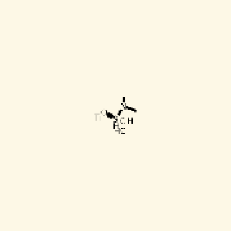 CN(C)[SiH]=O.Cl.Cl.[Ti]